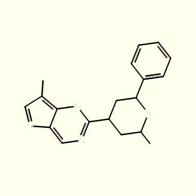 Cc1cnc2cnc(C3CC(C)NC(c4ccccc4)C3)[nH]c1-2